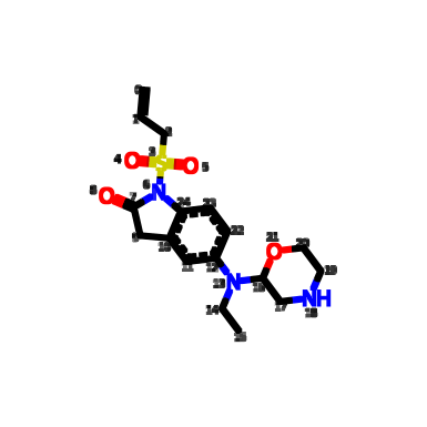 C=CCS(=O)(=O)N1C(=O)Cc2cc(N(CC)C3CNCCO3)ccc21